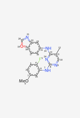 COc1ccc(F)c(Nc2ncc(C)c(Nc3ccc4ocnc4c3)n2)c1